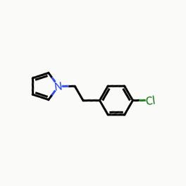 Clc1ccc(CCn2cccc2)cc1